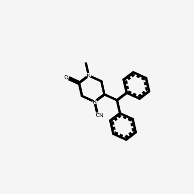 CN1CC(C(c2ccccc2)c2ccccc2)N(C#N)CC1=O